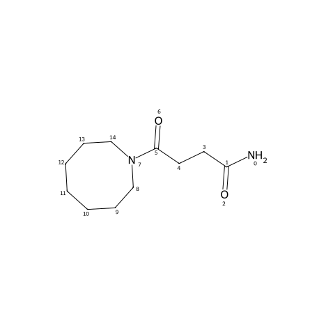 NC(=O)CCC(=O)N1CCCCCCC1